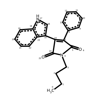 CCCCN1C(=O)C(c2ccccc2)=C(c2c[nH]c3ccccc23)C1=O